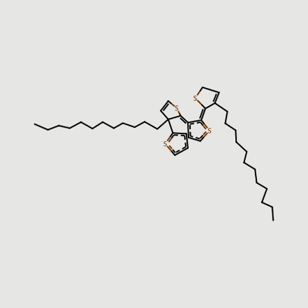 CCCCCCCCCCCCC1=CCSC1=c1sccc1=C1SC=CC1(CCCCCCCCCCCC)c1cccs1